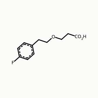 O=C(O)CCOCCc1ccc(F)cc1